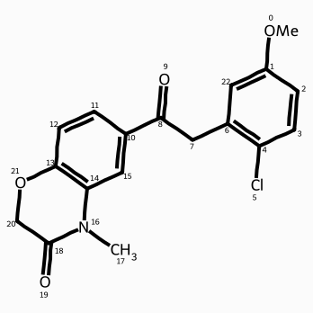 COc1ccc(Cl)c(CC(=O)c2ccc3c(c2)N(C)C(=O)CO3)c1